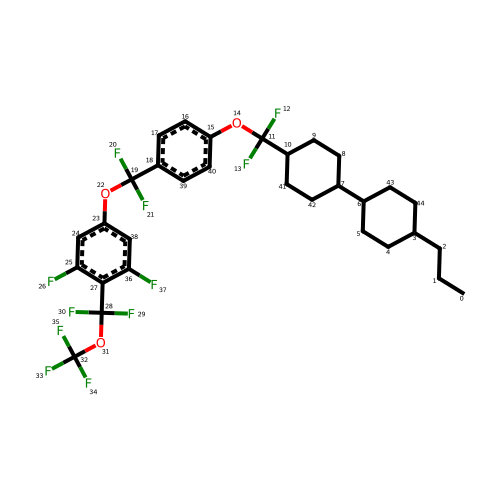 CCCC1CCC(C2CCC(C(F)(F)Oc3ccc(C(F)(F)Oc4cc(F)c(C(F)(F)OC(F)(F)F)c(F)c4)cc3)CC2)CC1